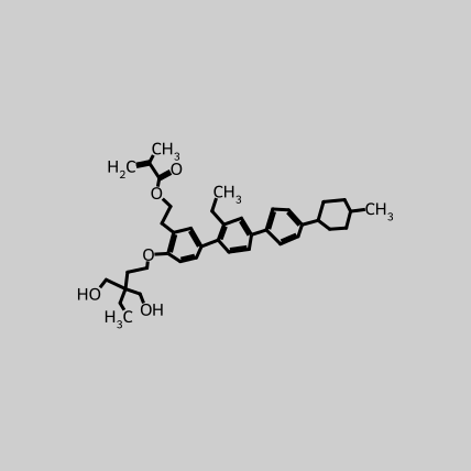 C=C(C)C(=O)OCCc1cc(-c2ccc(-c3ccc(C4CCC(C)CC4)cc3)cc2CC)ccc1OCCC(CC)(CO)CO